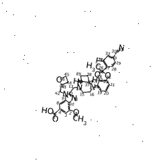 COc1cc(C(=O)O)cc2c1nc(CN1CCN(c3cccc4c3O[C@@](C)(c3ccc(C#N)cc3F)O4)[C@@H]3CC[C@@H]31)n2C[C@@H]1CCO1